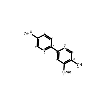 COc1cc(-c2ccc(C=O)cn2)ncc1C#N